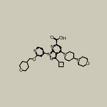 O=C(O)c1cc(N2CCC(N3CCOCC3)CC2)c2c(C3CCC3)nn(-c3ccnc(OCC4CCOCC4)c3)c2n1